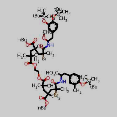 CCCCOC(=O)C(C)(CC(C)(C)C(=O)OCCOC(=O)C(C)(C)CC(C)(CC(C)(Br)C(=O)NC(Cc1ccc(O[Si](C)(C)C(C)(C)C)c(C)c1)C(=O)O)C(=O)OCCCC)CC(C)(Br)C(=O)NC(Cc1ccc(O[Si](C)(C)C(C)(C)C)c(O[Si](C)(C)C(C)(C)C)c1)OC=O